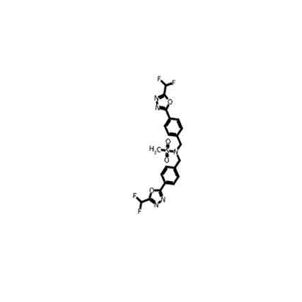 CS(=O)(=O)N(Cc1ccc(-c2nnc(C(F)F)o2)cc1)Cc1ccc(-c2nnc(C(F)F)o2)cc1